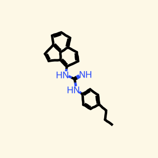 CCCc1ccc(NC(=N)Nc2ccc3cccc4c3c2C=C4)cc1